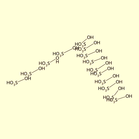 O=S(=O)(O)O.O=S(=O)(O)O.O=S(=O)(O)O.O=S(=O)(O)O.O=S(=O)(O)O.O=S(=O)(O)O.O=S(=O)(O)O.O=S(=O)(O)O.O=S(=O)(O)O.O=S(=O)(O)O.O=S(=O)(O)O.O=S(=O)(O)O.O=S(=O)(O)O.O=S(=O)(O)O